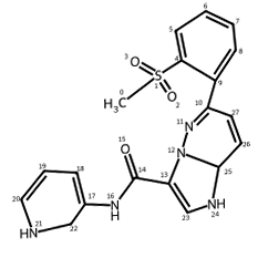 CS(=O)(=O)c1ccccc1C1=NN2C(C(=O)NC3=CC=CNC3)=CNC2C=C1